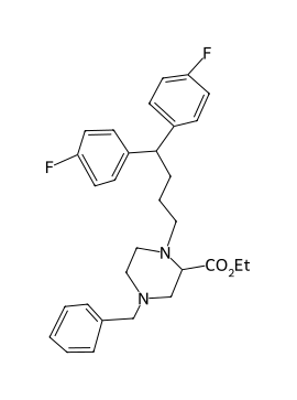 CCOC(=O)C1CN(Cc2ccccc2)CCN1CCCC(c1ccc(F)cc1)c1ccc(F)cc1